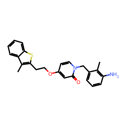 Cc1c(N)cccc1Cn1ccc(OCCc2sc3ccccc3c2C)cc1=O